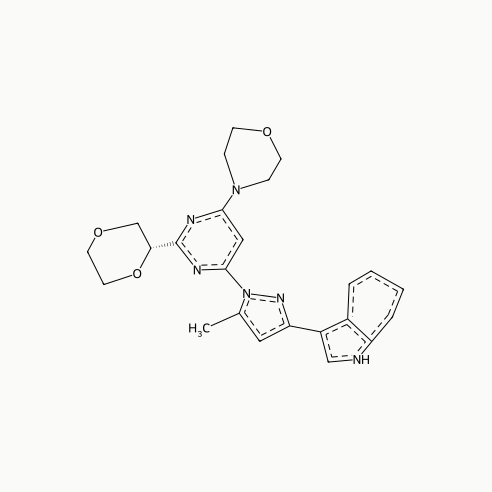 Cc1cc(-c2c[nH]c3ccccc23)nn1-c1cc(N2CCOCC2)nc([C@H]2COCCO2)n1